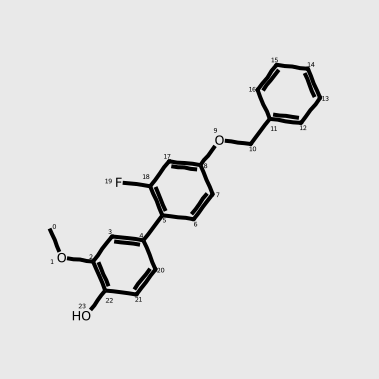 COc1cc(-c2ccc(OCc3ccccc3)cc2F)ccc1O